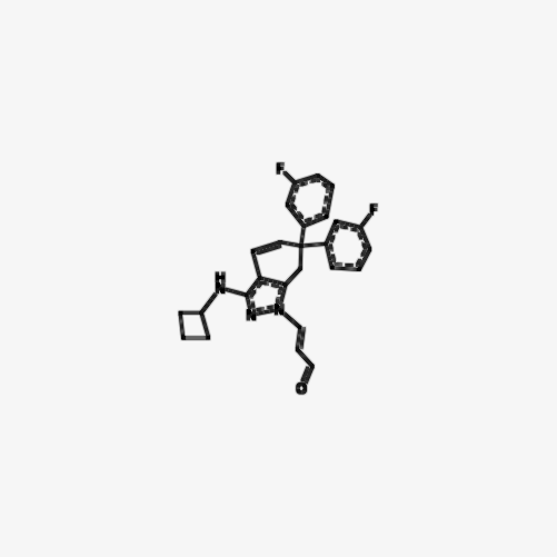 O=CC=Cn1nc(NC2CCC2)c2c1CC(c1cccc(F)c1)(c1cccc(F)c1)C=C2